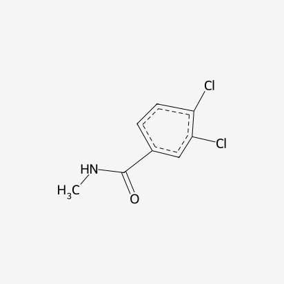 CNC(=O)c1ccc(Cl)c(Cl)c1